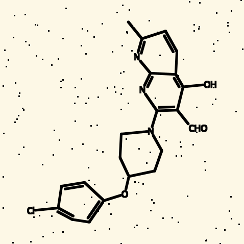 Cc1ccc2c(O)c(C=O)c(N3CCC(Oc4ccc(Cl)cc4)CC3)nc2n1